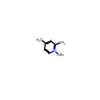 CCCC[n+]1ccc(C)cc1C